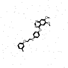 COc1cc2ncnc(Oc3ccc(SCCOc4cccc(C)c4)cc3)c2cc1OC